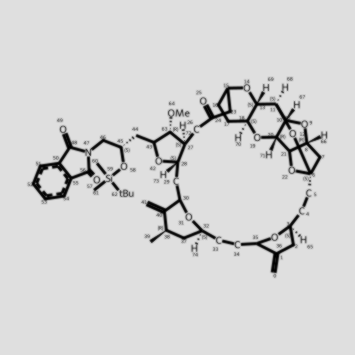 C=C1C[C@@H]2CC[C@@]34C[C@H]5O[C@H]6[C@@H](O3)[C@H]3OC(CC[C@@H]3O[C@H]6C5O4)CC(=O)C[C@H]3[C@H](CC4O[C@@H](CCC1O2)C[C@@H](C)C4=C)OC(C[C@@H](CN1C(=O)c2ccccc2C1=O)O[Si](C)(C)C(C)(C)C)[C@@H]3OC